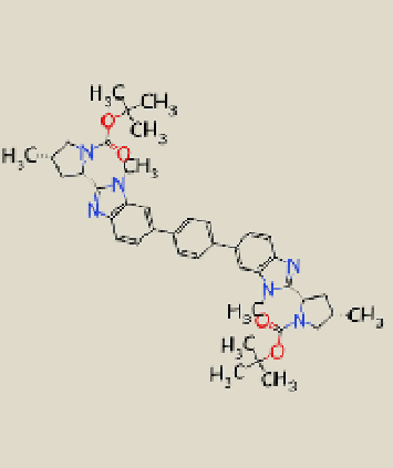 C[C@H]1C[C@@H](c2nc3ccc(-c4ccc(-c5ccc6nc([C@@H]7C[C@H](C)CN7C(=O)OC(C)(C)C)n(C)c6c5)cc4)cc3n2C)N(C(=O)OC(C)(C)C)C1